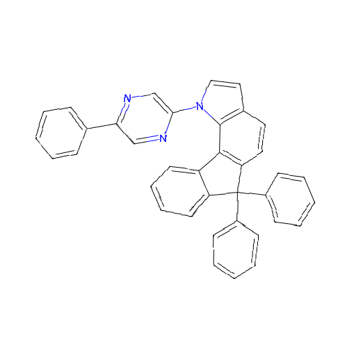 c1ccc(-c2cnc(-n3ccc4ccc5c(c43)-c3ccccc3C5(c3ccccc3)c3ccccc3)cn2)cc1